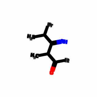 BC(C(=N)C(C)C(=O)CC)C(C)C